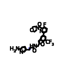 Nc1ccc(/C=C/C(=O)NCc2cc3cc(-c4ccc(F)c(C(=O)N5CCOCC5)n4)cc(C(F)(F)F)c3o2)cn1